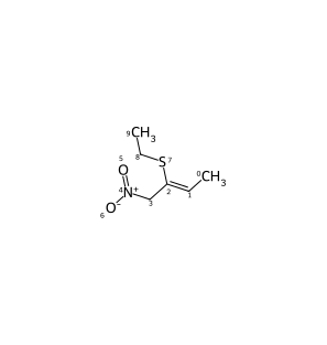 CC=C(C[N+](=O)[O-])SCC